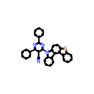 N#Cc1c(-c2ccccc2)nc(-c2ccccc2)nc1-n1c2ccccc2c2c3c(ccc21)sc1ccccc13